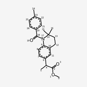 COC(=O)C(C)c1ccc2c(c1)CCC(C)(C)N2C(=O)c1ccc(C)cc1